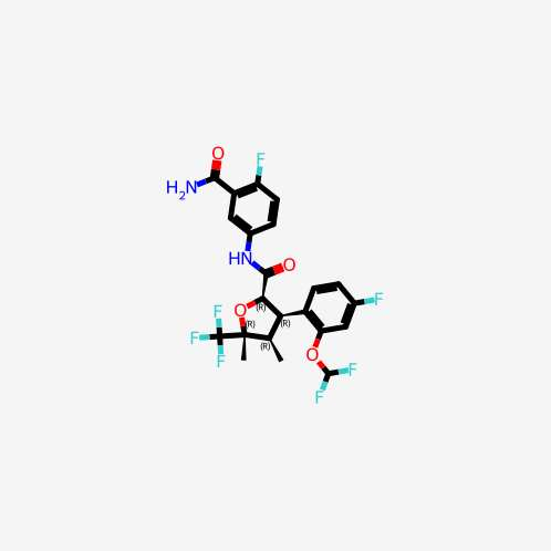 C[C@@H]1[C@H](c2ccc(F)cc2OC(F)F)[C@H](C(=O)Nc2ccc(F)c(C(N)=O)c2)O[C@@]1(C)C(F)(F)F